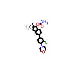 CC1(C)Cc2cc(-c3ccc(N4CCOCC4)c(Cl)c3)ccc2C1OC(N)=O